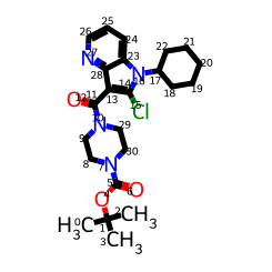 CC(C)(C)OC(=O)N1CCN(C(=O)c2c(Cl)n(C3CCCCC3)c3cccnc23)CC1